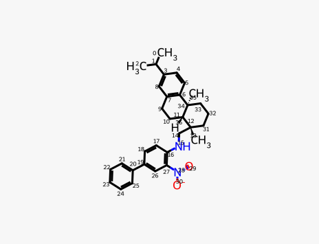 CC(C)c1ccc2c(c1)CC[C@H]1[C@@](C)(CNc3ccc(-c4ccccc4)cc3[N+](=O)[O-])CCC[C@]21C